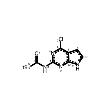 CC(C)(C)C(=O)Nc1nc(Cl)c2cc[nH]c2n1